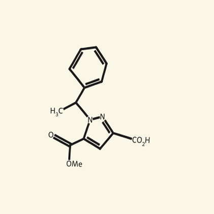 COC(=O)c1cc(C(=O)O)nn1C(C)c1ccccc1